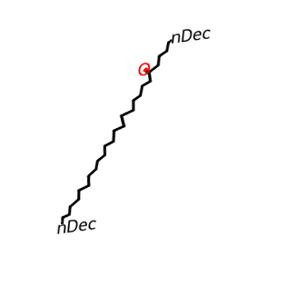 CCCCCCCCCCCCCCCCCCCCCCCCCCCCCCC(=O)CCCCCCCCCCCCCC